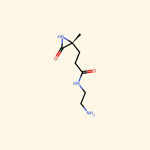 C[C@]1(CCC(=O)NCCN)NC1=O